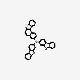 c1ccc2c(c1)oc1ccc3cc(N(c4ccc5c(c4)sc4ccccc45)c4ccc5c(c4)sc4ccccc45)ccc3c12